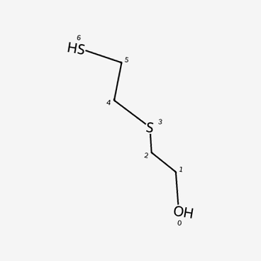 OCCSCCS